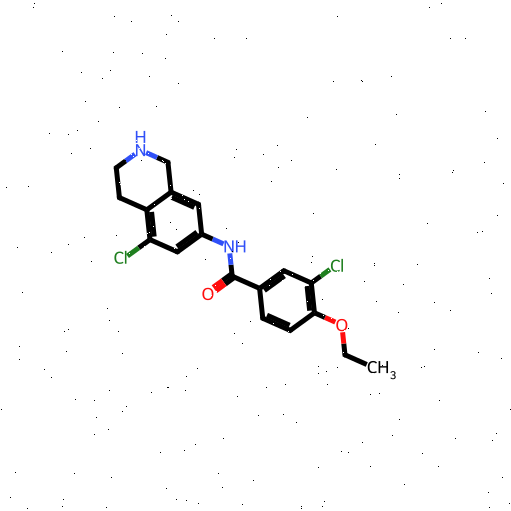 CCOc1ccc(C(=O)Nc2cc(Cl)c3c(c2)CNCC3)cc1Cl